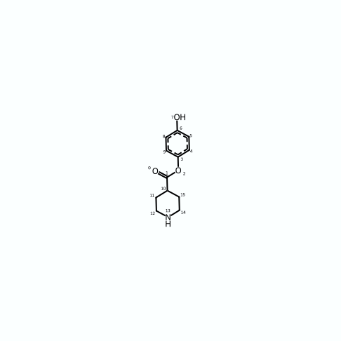 O=C(Oc1ccc(O)cc1)C1CCNCC1